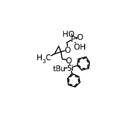 CC1CC1(CO[Si](c1ccccc1)(c1ccccc1)C(C)(C)C)OCP(=O)(O)O